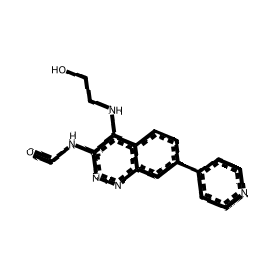 O=CNc1nnc2cc(-c3ccncc3)ccc2c1NCCO